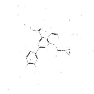 C/C=C\c1c(NCC2CC2)nc(-c2ccc(Cl)c(F)c2)nc1C(=O)OC